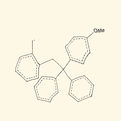 [CH2]c1ccccc1CC(c1ccccc1)(c1ccccc1)c1ccc(OC)cc1